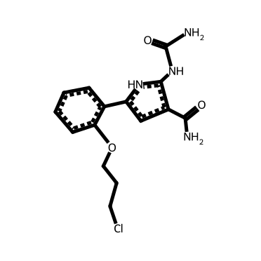 NC(=O)Nc1[nH]c(-c2ccccc2OCCCCl)cc1C(N)=O